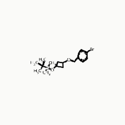 CC(C)(C)[Si](C)(C)OC1CC(OCc2ccc(Br)cc2)C1